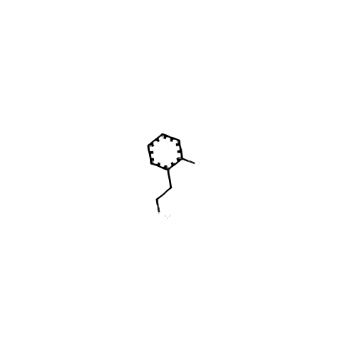 COCCc1ccccc1C(C)=O